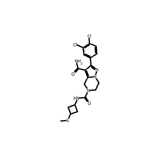 CSC1CC(NC(=O)N2CCn3nc(-c4ccc(Cl)c(Cl)c4)c(C(N)=O)c3C2)C1